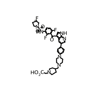 O=C(O)CN1CCC(CN2CCN(c3ccc(-c4cnc5[nH]cc(C(=O)c6c(F)ccc(NS(=O)(=O)N7CC[C@@H](F)C7)c6F)c5c4)cc3)CC2)CC1